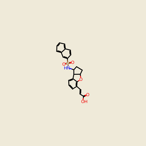 O=C(O)C=Cc1cccc2c1OC1CCC(NS(=O)(=O)c3ccc4ccccc4c3)C21